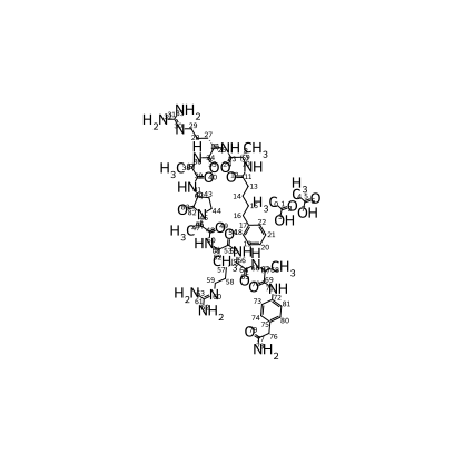 CC(=O)O.CC(=O)O.C[C@H](NC(=O)CCCCc1ccccc1)C(=O)N[C@@H](CCCN=C(N)N)C(=O)N[C@@H](C)C(=O)N[C@@H]1CCN([C@@H](C)C(=O)N[C@@H](C)C(=O)N[C@@H](CCCN=C(N)N)C(=O)N[C@@H](C)C(=O)Nc2ccc(CC(N)=O)cc2)C1=O